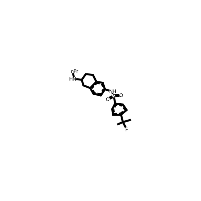 CCCNC1CCc2cc(NS(=O)(=O)c3ccc(C(C)(C)F)cc3)ccc2C1